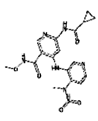 CONC(=O)c1cnc(NC(=O)C2CC2)cc1Nc1cnccc1N(C)[SH](=O)=O